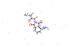 CC(=O)N(C)C(=O)C(C)N1C(=O)c2cccc(N)c2C1=O